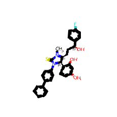 CN1C(=S)N(c2ccc(-c3ccccc3)cc2)[C@H](c2ccc(O)cc2O)[C@@H]1CC[C@H](O)c1ccc(F)cc1